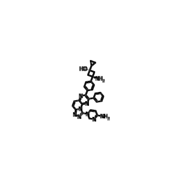 NC1=NCN(c2nnc3ccc4nc(-c5ccc([C@]6(N)C[C@@](O)(C7CC7)C6)cc5)c(-c5ccccc5)nc4n23)C=C1